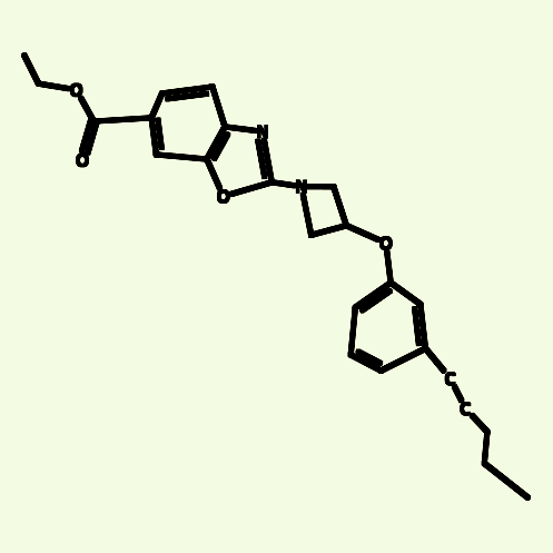 CCCCCc1cccc(OC2CN(c3nc4ccc(C(=O)OCC)cc4o3)C2)c1